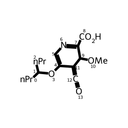 CCCC(CCC)OC1=CN=C(C(=O)O)C(OC)C1=C=O